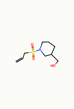 C=CCS(=O)(=O)N1CCCC(CO)C1